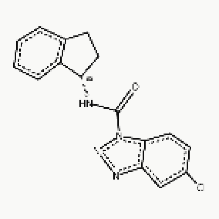 O=C(N[C@H]1CCc2ccccc21)n1nnc2cc(Cl)ccc21